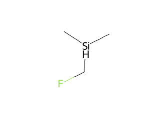 C[SiH](C)CF